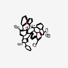 CC(C)(C)c1cc2c(cc1-c1ccccc1)Cc1c-2cc(C(C)(C)C)c(-c2ccccc2)[c]1[Zr+2](=[C](c1cccc2c(Cl)cccc12)c1cccc2c(Cl)cccc12)[CH]1C=CC=C1.[Cl-].[Cl-]